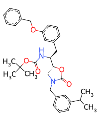 CC(C)c1cccc(CN2C[C@H]([C@H](Cc3cccc(OCc4ccccc4)c3)NC(=O)OC(C)(C)C)OC2=O)c1